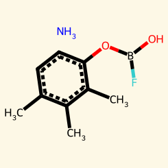 Cc1ccc(OB(O)F)c(C)c1C.N